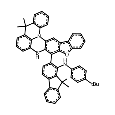 CC(C)(C)c1ccc(Nc2c(-c3c4c(cc5c3oc3ccccc35)N3c5ccccc5C(C)(C)c5cccc(c53)B4)ccc3c2C(C)(C)c2ccccc2-3)cc1